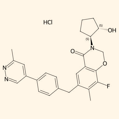 Cc1cc(-c2ccc(Cc3cc4c(c(F)c3C)OCN([C@H]3CCC[C@@H]3O)C4=O)cc2)cnn1.Cl